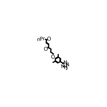 CCCC(=O)C=CC(=O)CCCOc1c(C)cc(-c2nnn(C)n2)cc1C